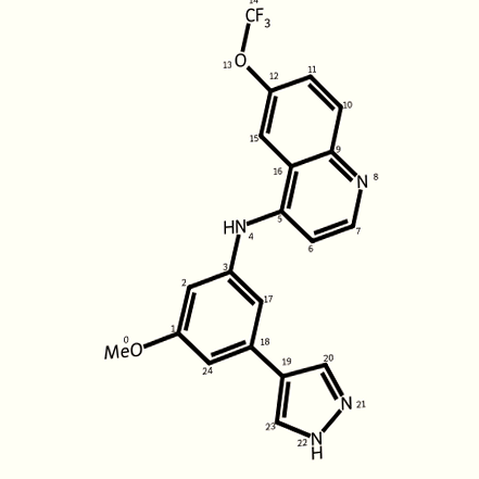 COc1cc(Nc2ccnc3ccc(OC(F)(F)F)cc23)cc(-c2cn[nH]c2)c1